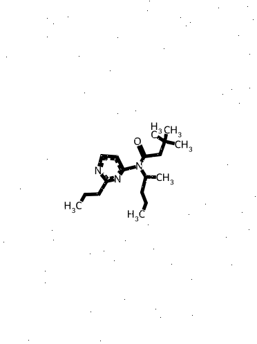 CCCc1nccc(N(C(=O)CC(C)(C)C)C(C)CCC)n1